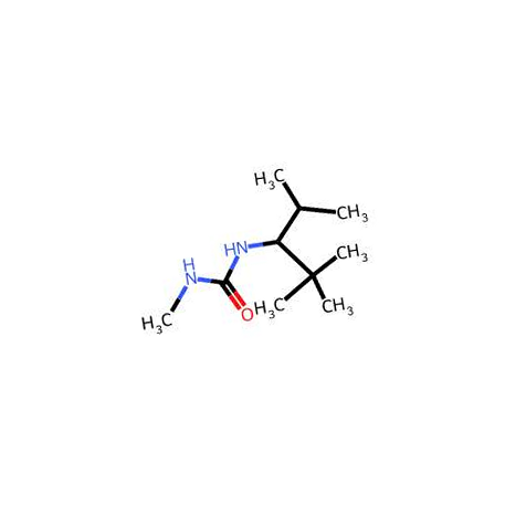 CNC(=O)NC(C(C)C)C(C)(C)C